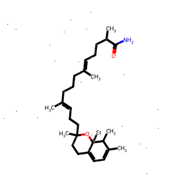 CCC12OC(C)(CC/C=C(\C)CCC/C(C)=C/CCC(C)C(N)=O)CCC1=CC=C(C)C2C